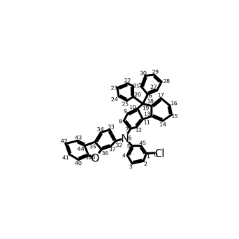 Clc1cccc(N(c2ccc3c(c2)-c2ccccc2C3(c2ccccc2)c2ccccc2)c2ccc3c(c2)oc2ccccc23)c1